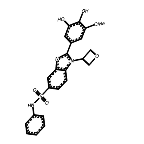 COc1cc(-c2nc3cc(S(=O)(=O)Nc4ccccc4)ccc3n2C2COC2)cc(O)c1O